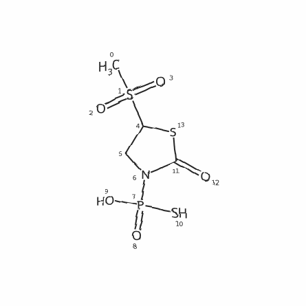 CS(=O)(=O)C1CN(P(=O)(O)S)C(=O)S1